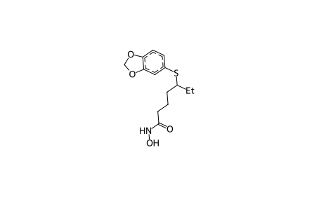 CCC(CCCC(=O)NO)Sc1ccc2c(c1)OCO2